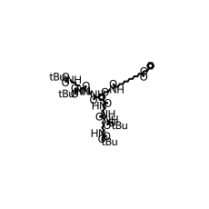 CC(C)(C)OC(=O)NCCCC[C@H](NC(=O)OC(C)(C)C)C(=O)NCCNC(=O)c1cc(OCCNC(=O)CCCCCCCCCCC(=O)OCc2ccccc2)cc(C(=O)NCCNC(=O)[C@H](CCCCNC(=O)OC(C)(C)C)NC(=O)OC(C)(C)C)c1